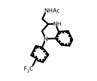 CC(=O)NCC1CN(c2ccc(C(F)(F)F)cc2)c2ccccc2N1